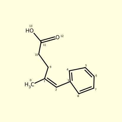 CC(=Cc1ccccc1)CCC(=O)O